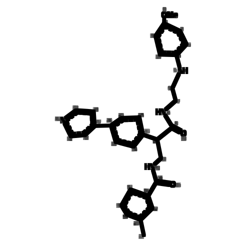 COc1ccc(NCCNC(=O)C(CNC(=O)c2cccc(C)c2)c2ccc(-c3ccncc3)cc2)cc1